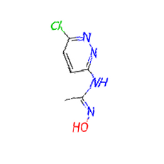 C/C(=N\O)Nc1ccc(Cl)nn1